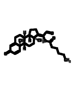 CCCCCC(=O)OC(C=O)=C1CC[C@H]2[C@@H]3CCC4=CC(=O)C=C[C@]4(C)[C@H]3CC[C@]12C